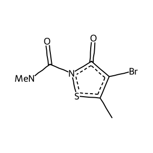 CNC(=O)n1sc(C)c(Br)c1=O